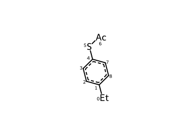 CCc1ccc(SC(C)=O)cc1